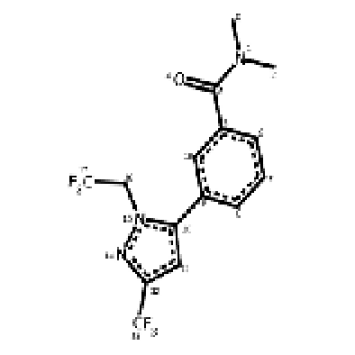 CN(C)C(=O)c1cccc(-c2cc(C(F)(F)F)nn2CC(F)(F)F)c1